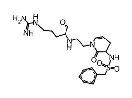 N=C(N)NCCCC(C=O)NCCN1C=CCC(NS(=O)(=O)Cc2ccccc2)C1=O